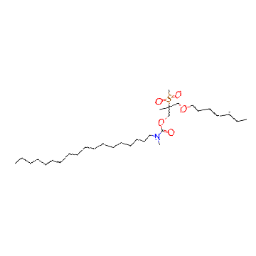 CC[CH]CCCCOCC(C)(COC(=O)N(C)CCCCCCCCCCCCCCCCCC)S(C)(=O)=O